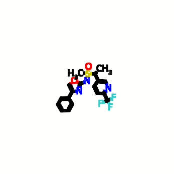 CC(c1ccc(C(F)(F)F)nc1)S(C)(=O)=Nc1nc(-c2ccccc2)co1